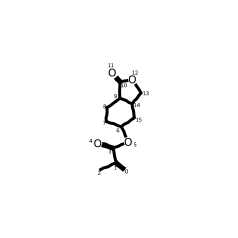 C=C(C)C(=O)OC1CCC2C(=O)OCC2C1